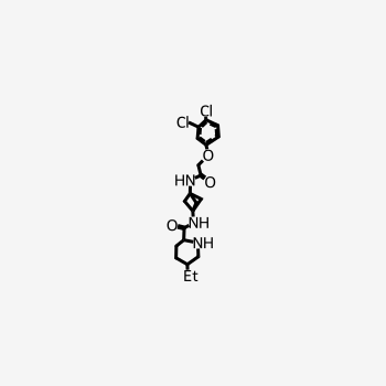 CCC1CCC(C(=O)NC23CC(NC(=O)COc4ccc(Cl)c(Cl)c4)(C2)C3)NC1